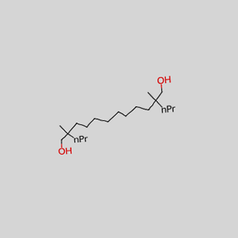 CCCC(C)(CO)CCCCCCCCC(C)(CO)CCC